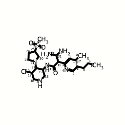 CC/C=C(\N=C/C(F)CCC)C(C(=O)NC1CNCC(Cl)C1N1CCC(S(C)(=O)=O)C1)C(N)N